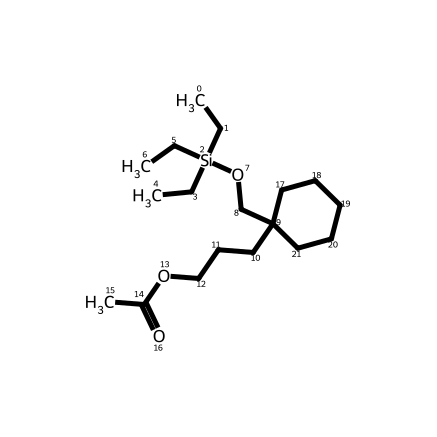 CC[Si](CC)(CC)OCC1(CCCOC(C)=O)CCCCC1